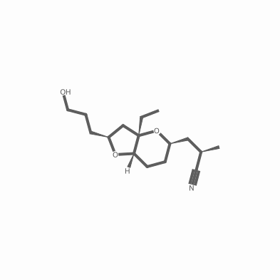 CC[C@]12C[C@H](CCCO)O[C@H]1CC[C@H](C[C@@H](C)C#N)O2